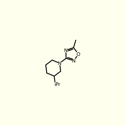 Cc1nc(N2CCCC(C(C)C)C2)no1